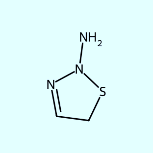 NN1N=CCS1